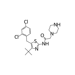 CC(C)(C)c1nc(NC(=O)CN2CCNCC2)sc1Cc1ccc(Cl)cc1Cl